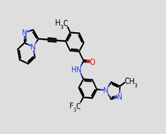 Cc1cn(-c2cc(NC(=O)c3ccc(C)c(C#Cc4cnc5ccccn45)c3)cc(C(F)(F)F)c2)cn1